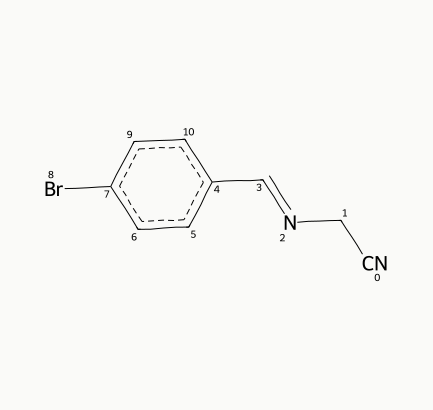 N#CCN=Cc1ccc(Br)cc1